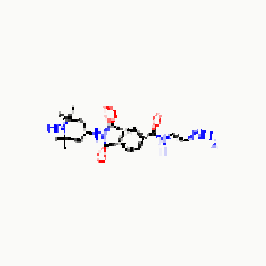 CC1(C)CC(N2C(=O)c3ccc(C(=O)NCCN)cc3C2=O)CC(C)(C)N1